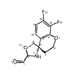 O=CC1N[C@]2(CCOc3c2ccc(F)c3F)CO1